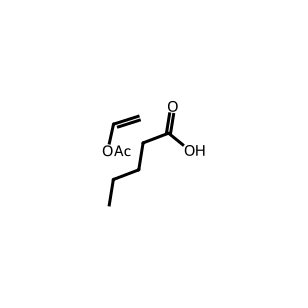 C=COC(C)=O.CCCCC(=O)O